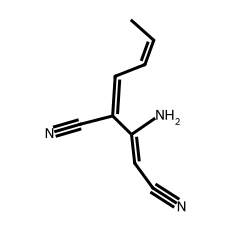 C\C=C/C=C(C#N)\C(N)=C\C#N